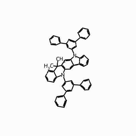 CC1(C)c2ccccc2N(c2cc(-c3ccccc3)cc(-c3ccccc3)c2)c2cc3c4ccccc4n(-c4cc(-c5ccccc5)cc(-c5ccccc5)c4)c3cc21